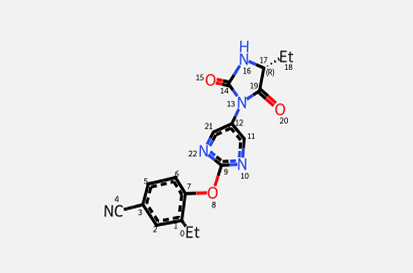 CCc1cc(C#N)ccc1Oc1ncc(N2C(=O)N[C@H](CC)C2=O)cn1